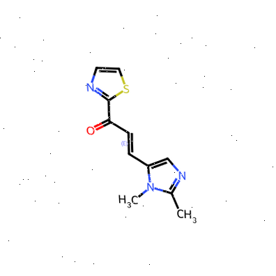 Cc1ncc(/C=C/C(=O)c2nccs2)n1C